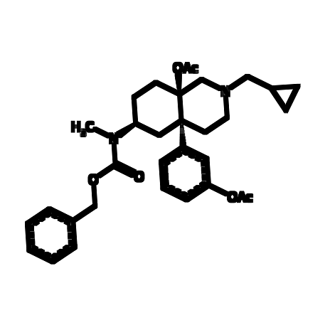 CC(=O)Oc1cccc([C@@]23CCN(CC4CC4)C[C@@]2(OC(C)=O)CC[C@H](N(C)C(=O)OCc2ccccc2)C3)c1